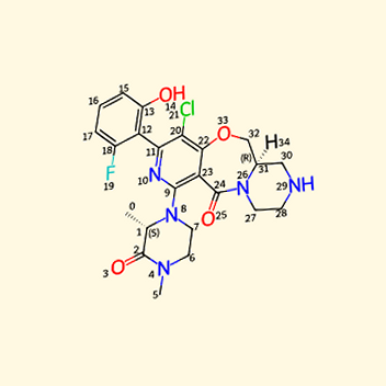 C[C@H]1C(=O)N(C)CCN1c1nc(-c2c(O)cccc2F)c(Cl)c2c1C(=O)N1CCNC[C@@H]1CO2